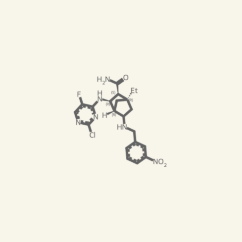 CC[C@]12CC(NCc3cccc([N+](=O)[O-])c3)[C@@H](C1)[C@@H](Nc1nc(Cl)ncc1F)[C@H]2C(N)=O